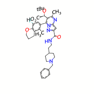 Cc1nc2cc(C(=O)NCCC3CCN(Cc4ccccc4)CC3)nn2c(-c2cc(F)c3c(c2C)CCCO3)c1[C@H](OC(C)(C)C)C(=O)O